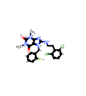 Cn1c(=O)c2c(nc(NCCc3c(Cl)cccc3Cl)n2Cc2ccccc2F)n(C)c1=O